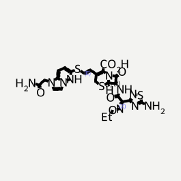 CCO/N=C(\C(=O)N[C@@H]1C(=O)N2C(C(=O)O)=C(/C=C/SC3=CC=C4N(CC(N)=O)C=CN4N3)CS[C@@H]12)c1nsc(N)n1